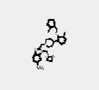 Cc1cccc(C2CCN(Cc3nc4ccc(C(=O)O)cc4n3C[C@@H]3CCO3)CC2)c1OCc1ccccc1F